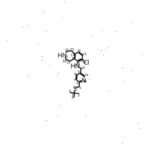 CC(C)(C)SCc1ccc(CNc2c(Cl)ccc3c2CCNCC3)cn1